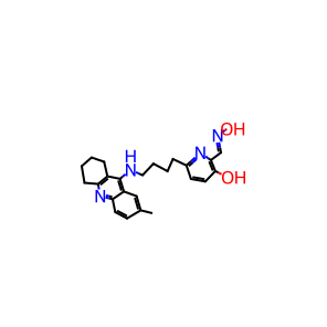 Cc1ccc2nc3c(c(NCCCCc4ccc(O)c(/C=N/O)n4)c2c1)CCCC3